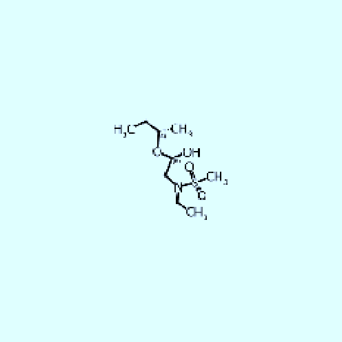 CC[C@H](C)O[C@@H](O)CN(CC)S(C)(=O)=O